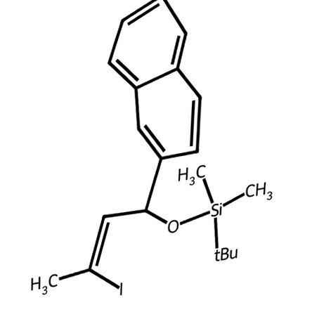 CC(I)=CC(O[Si](C)(C)C(C)(C)C)c1ccc2ccccc2c1